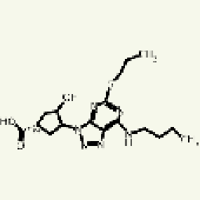 CCCCNc1nc(SCCC)nc2c1nnn2C1C[C@H](C(=O)O)CC1O